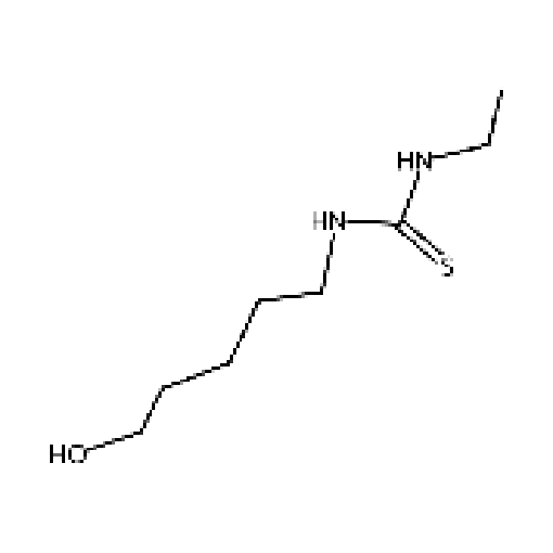 CCNC(=S)NCCCCCO